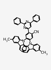 Cc1ccc2c(c1)c1ccccc1n2-c1cc(C#N)c(-c2cc(-c3ccccc3)nc(-c3ccccc3)n2)cc1-n1c2ccccc2c2cc(C)ccc21